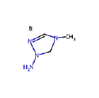 CN1C=NN(N)C1.[B]